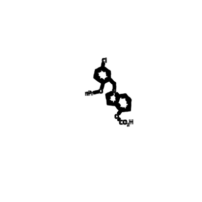 CCCOc1ccc(Cl)cc1Cn1ccc2c(OC(=O)O)cccc21